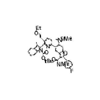 CCO/C=C/c1ccc(-c2cc3c(C(=O)NC)c(-c4ccc(F)cc4)oc3cc2N(C)SC)nc1-c1c(C)c2ccccc2n1C(=O)OC(C)(C)C